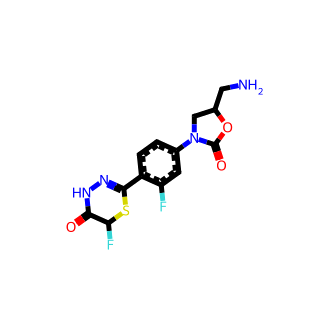 NCC1CN(c2ccc(C3=NNC(=O)C(F)S3)c(F)c2)C(=O)O1